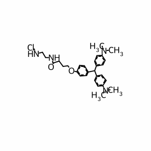 CN(C)c1ccc(C(c2ccc(OCCCC(=O)NCCNCl)cc2)c2ccc(N(C)C)cc2)cc1